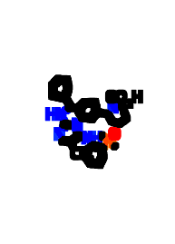 CP(C)(=O)c1ccccc1Nc1nc(NC(c2ccccc2)c2ccc(C3CCCCN3C(=O)O)cc2)ncc1C(F)(F)F